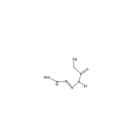 CCN(N=NNC=O)C(=O)CC#N